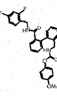 COc1ccc(OC(=O)NCc2ccccc2-c2ccccc2C(=O)NCc2ccc(F)cc2F)cc1